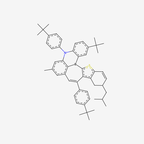 Cc1cc2c3c(c1)N(c1ccc(C(C)(C)C)cc1)c1ccc(C(C)(C)C)cc1B3c1sc3c(c1C(c1ccc(C(C)(C)C)cc1)=C2)CC(CC(C)C)C=C3